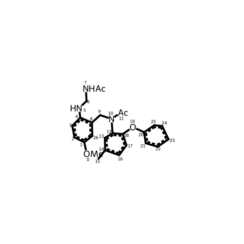 COc1ccc(NCNC(C)=O)c(CN(C(C)=O)c2cc(C)ccc2Oc2ccccc2)c1